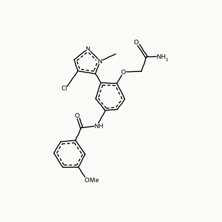 COc1cccc(C(=O)Nc2ccc(OCC(N)=O)c(-c3c(Cl)cnn3C)c2)c1